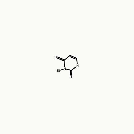 CCN1C(=O)C=C[N]C1=O